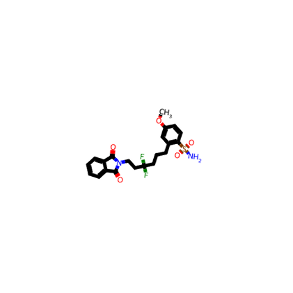 COc1ccc(S(N)(=O)=O)c(CCCC(F)(F)CCN2C(=O)c3ccccc3C2=O)c1